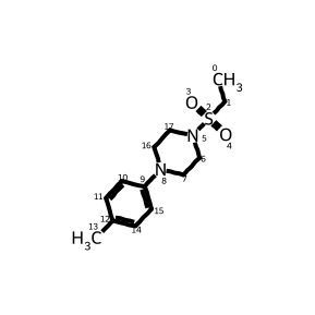 CCS(=O)(=O)N1CCN(c2ccc(C)cc2)CC1